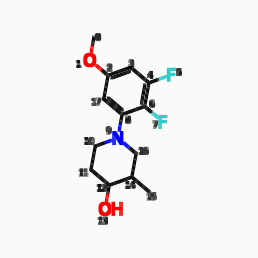 COc1cc(F)c(F)c(N2CCC(O)C(C)C2)c1